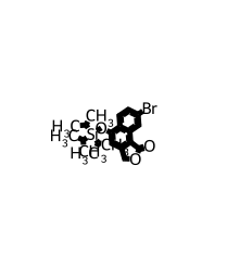 CC(C)[Si](Oc1cc2c(c3cc(Br)ccc13)C(=O)OC2)(C(C)C)C(C)C